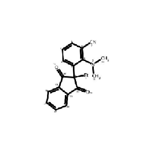 CCC1(c2cccc(C#N)c2N(C)C)C(=O)c2ccccc2C1=O